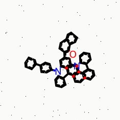 c1ccc(-c2ccc(N(c3cc(N(c4ccccc4)c4ccccc4-c4ccccc4)c4oc5c6ccccc6ccc5c4c3)c3ccccc3-c3ccccc3)cc2)cc1